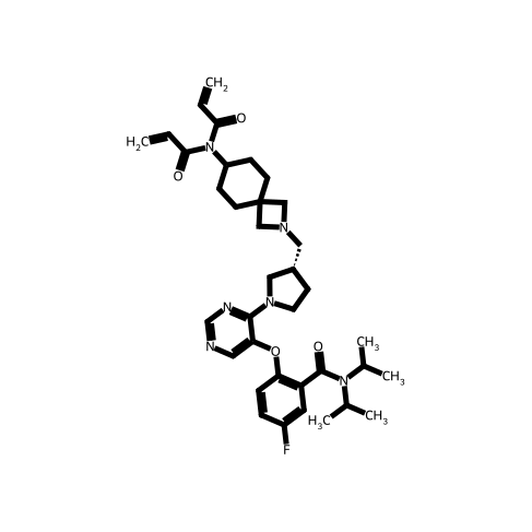 C=CC(=O)N(C(=O)C=C)C1CCC2(CC1)CN(C[C@@H]1CCN(c3ncncc3Oc3ccc(F)cc3C(=O)N(C(C)C)C(C)C)C1)C2